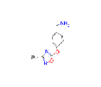 CC(C)c1noc(Oc2ccc(CN)cc2)n1